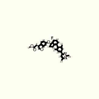 COC(=O)C[C@@H]1COc2cc(O[C@@H]3CCc4c(-c5c(C)cc(-c6cc(C)nc(C)n6)cc5C)ccc(F)c43)ccc21